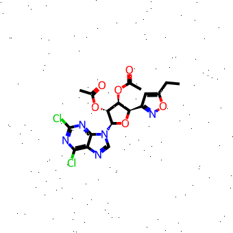 CCc1cc([C@H]2O[C@@H](n3cnc4c(Cl)nc(Cl)nc43)[C@H](OC(C)=O)[C@H]2OC(C)=O)no1